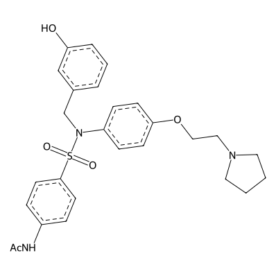 CC(=O)Nc1ccc(S(=O)(=O)N(Cc2cccc(O)c2)c2ccc(OCCN3CCCC3)cc2)cc1